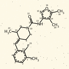 Cc1cccc(C=C2CCN(C(=O)Nc3noc(C)c3C)CC2C)c1F